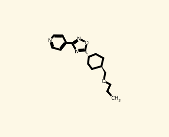 CCCOC[C@H]1CC[C@H](c2nc(-c3ccncc3)no2)CC1